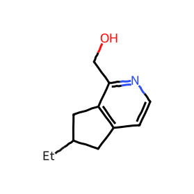 CCC1Cc2ccnc(CO)c2C1